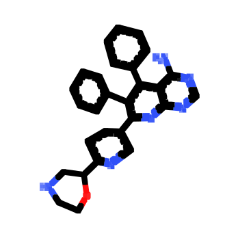 Nc1ncnc2nc(-c3ccc(C4CNCCO4)nc3)c(-c3ccccc3)c(-c3ccccc3)c12